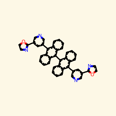 c1ccc2c(-c3c4ccccc4c(-c4cncc(-c5ncco5)c4)c4ccccc34)c3ccccc3c(-c3cncc(-c4ncco4)c3)c2c1